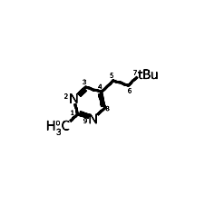 Cc1ncc(CCC(C)(C)C)cn1